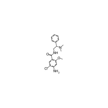 COc1cc(N)c(Cl)cc1C(=O)NCC(c1ccccc1)N(C)C